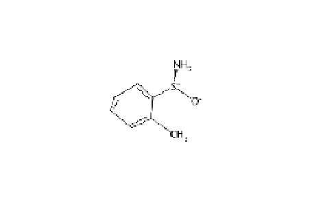 Cc1ccccc1[S@@+](N)[O-]